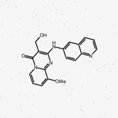 COc1cccn2c(=O)c(CO)c(Nc3ccc4ncccc4c3)nc12